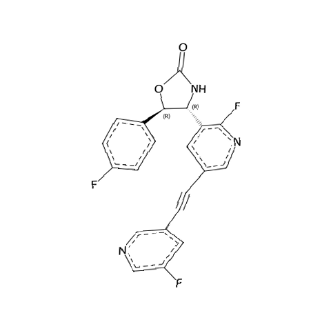 O=C1N[C@H](c2cc(C#Cc3cncc(F)c3)cnc2F)[C@@H](c2ccc(F)cc2)O1